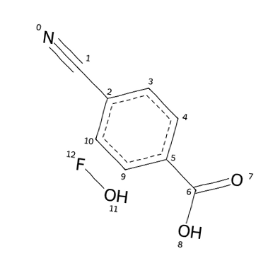 N#Cc1ccc(C(=O)O)cc1.OF